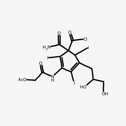 CC(=O)OCC(=O)NC1=C(I)C(C(N)=O)(C(=O)Cl)C(I)C(CC(O)CO)=C1I